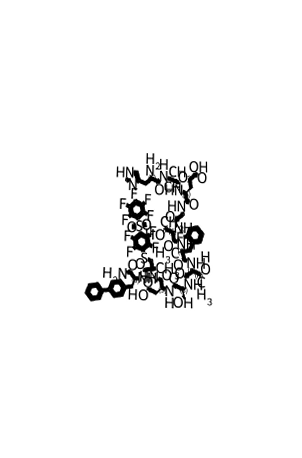 C[C@@H](O)[C@H](NC(=O)CNC(=O)[C@H](CCC(=O)O)NC(=O)C(C)(C)NC(=O)[C@@H](N)Cc1c[nH]cn1)C(=O)N[C@@](C)(Cc1ccccc1F)C(=O)N[C@H](C(=O)N[C@@H](CO)C(=O)N[C@@H](CC(=O)O)C(=O)NC(C)(CSc1c(F)c(F)c(S(=O)(=O)c2c(F)c(F)c(F)c(F)c2F)c(F)c1F)C(=O)N[C@@H](Cc1ccc(-c2ccccc2)cc1)C(N)=O)[C@@H](C)O